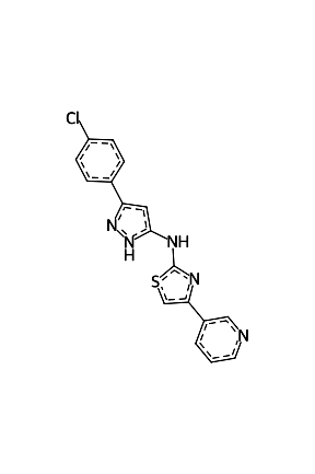 Clc1ccc(-c2cc(Nc3nc(-c4cccnc4)cs3)[nH]n2)cc1